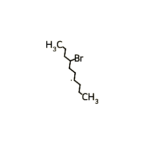 CCC[CH]CCC(Br)CCC